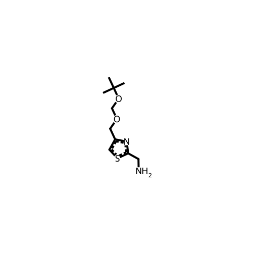 CC(C)(C)OCOCc1csc(CN)n1